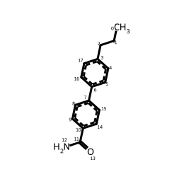 C[CH]Cc1ccc(-c2ccc(C(N)=O)cc2)cc1